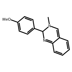 COc1ccc(C2N=c3ccccc3=CN2C)cc1